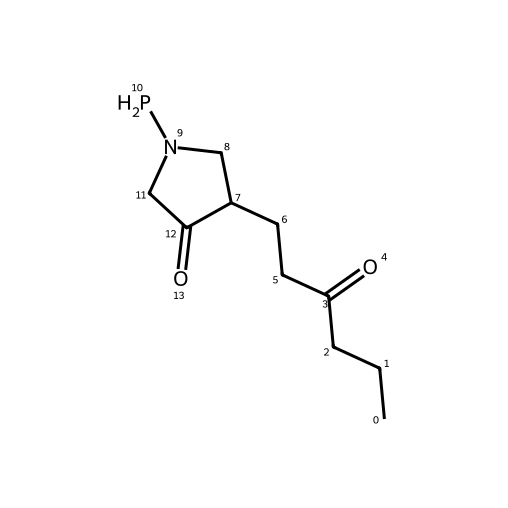 CCCC(=O)CCC1CN(P)CC1=O